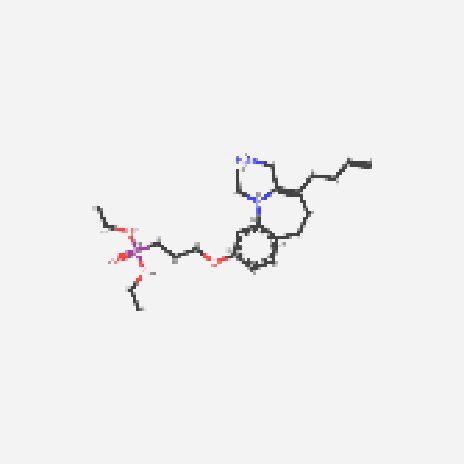 C=CCCC1=C(CN)N(CC)c2cc(OCCCP(=O)(OCC)OCC)ccc2CC1